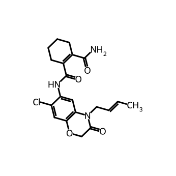 CC=CCN1C(=O)COc2cc(Cl)c(NC(=O)C3=C(C(N)=O)CCCC3)cc21